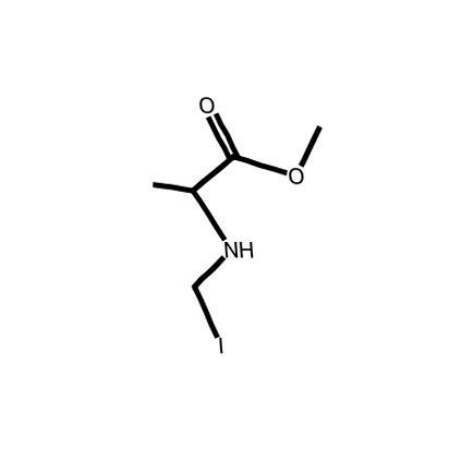 COC(=O)C(C)NCI